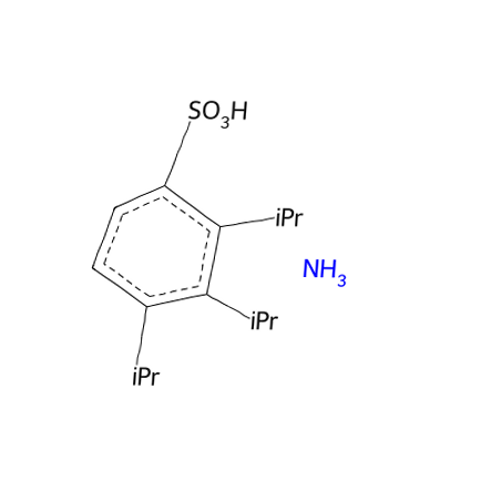 CC(C)c1ccc(S(=O)(=O)O)c(C(C)C)c1C(C)C.N